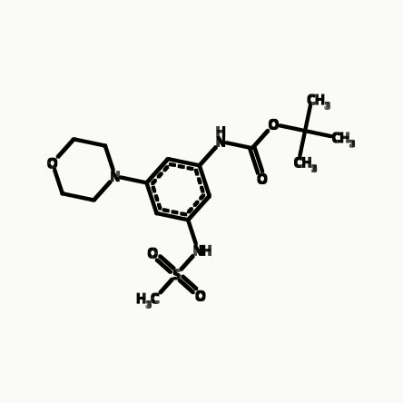 CC(C)(C)OC(=O)Nc1cc(NS(C)(=O)=O)cc(N2CCOCC2)c1